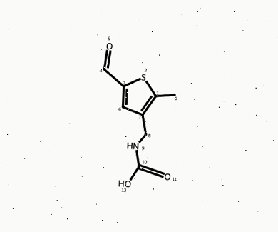 Cc1sc(C=O)cc1CNC(=O)O